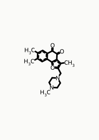 Cc1cc2c(cc1C)-c1oc(CN3CCN(C)CC3)c(C)c1C(=O)C2=O